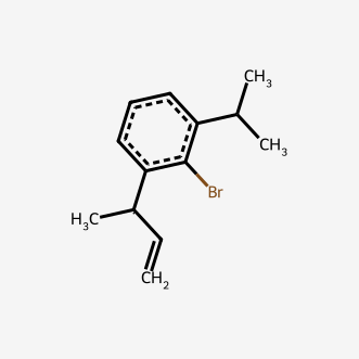 C=C[C](C)c1cccc(C(C)C)c1Br